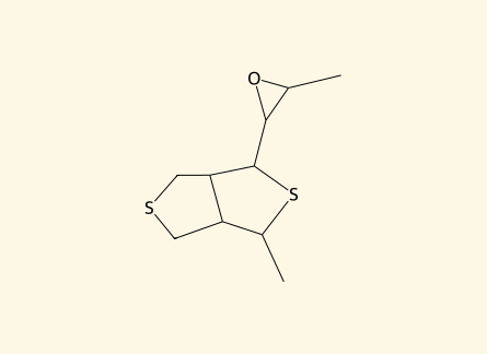 CC1OC1C1SC(C)C2CSCC21